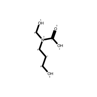 O=C(O)N(CO)CCCO